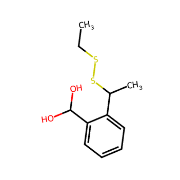 CCSSC(C)c1ccccc1C(O)O